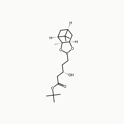 CC(C)(C)OC(=O)C[C@@H](O)CCB1O[C@@H]2C[C@@H]3C[C@@H](C3(C)C)[C@]2(C)O1